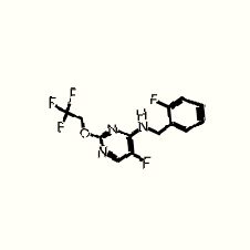 Fc1ccccc1CNc1nc(OCC(F)(F)F)ncc1F